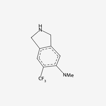 CNc1cc2c(cc1C(F)(F)F)CNC2